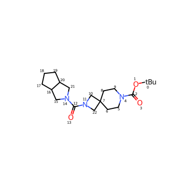 CC(C)(C)OC(=O)N1CCC2(CC1)CN(C(=O)N1CC3CCCC3C1)C2